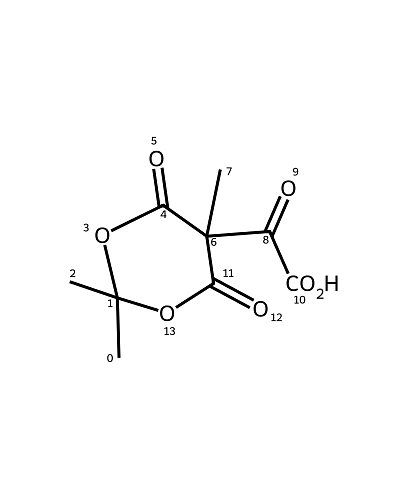 CC1(C)OC(=O)C(C)(C(=O)C(=O)O)C(=O)O1